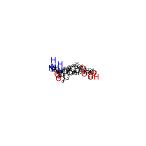 CC(C)C1=C2C3CCC4[C@@]5(C)CC[C@H](OC(=O)CC(C)(C)C(=O)O)C(C)(C)C5CC[C@@]4(C)[C@]3(C)CC[C@@]2(NC(=O)c2cn[nH]c2)CC1=O